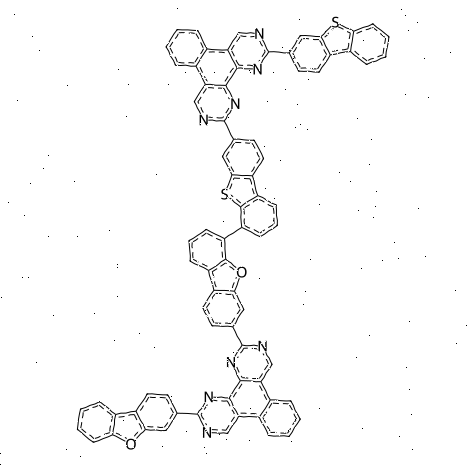 c1ccc2c(c1)oc1cc(-c3ncc4c5ccccc5c5cnc(-c6ccc7c(c6)oc6c(-c8cccc9c8sc8cc(-c%10ncc%11c%12ccccc%12c%12cnc(-c%13ccc%14c(c%13)sc%13ccccc%13%14)nc%12c%11n%10)ccc89)cccc67)nc5c4n3)ccc12